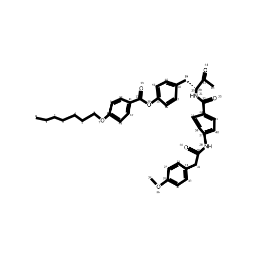 CCCCCCCOc1ccc(C(=O)Oc2ccc(C[C@@H](NC(=O)c3ccc(NC(=O)Cc4ccc(OC)cc4)cc3)C(C)=O)cc2)cc1